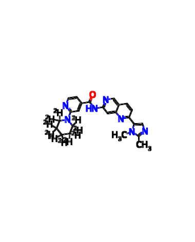 [2H]C1([2H])N(c2cc(C(=O)Nc3cc4nc(-c5cnc(C)n5C)ccc4cn3)ccn2)C([2H])([2H])C([2H])([2H])C([2H])([2H])C1([2H])[2H]